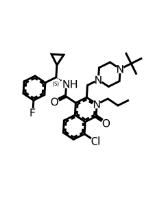 CCCn1c(CN2CCN(C(C)(C)C)CC2)c(C(=O)N[C@H](c2cccc(F)c2)C2CC2)c2cccc(Cl)c2c1=O